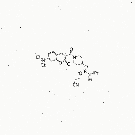 CCN(CC)c1ccc2cc(C(=O)N3CCC(OP(OCCC#N)N(C(C)C)C(C)C)CC3)c(=O)oc2c1